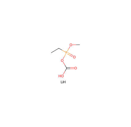 CCP(=O)(OC)OC(=O)O.[LiH]